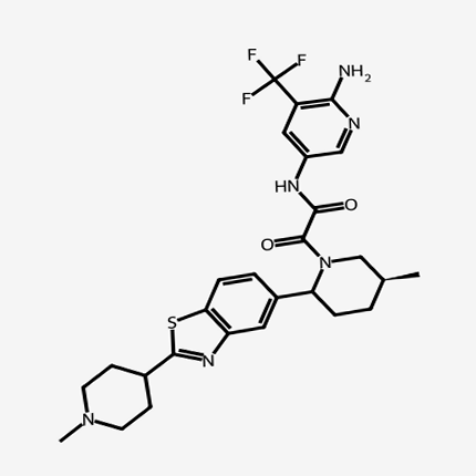 C[C@H]1CCC(c2ccc3sc(C4CCN(C)CC4)nc3c2)N(C(=O)C(=O)Nc2cnc(N)c(C(F)(F)F)c2)C1